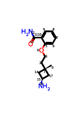 C[C@]1(CCOc2ccccc2C(N)=O)C[C@H](N)C1